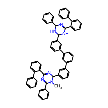 CN1C(c2ccccc2)=NC(c2ccccc2-c2ccccc2)=NC1c1cccc(-c2cccc(-c3cccc(C4NC(c5ccccc5-c5ccccc5)=NC(c5ccccc5)N4)c3)c2)c1